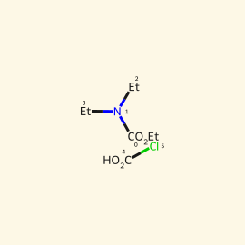 CCOC(=O)N(CC)CC.O=C(O)Cl